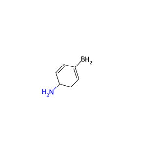 BC1=CCC(N)C=C1